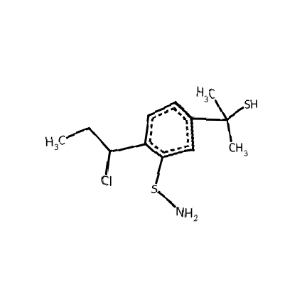 CCC(Cl)c1ccc(C(C)(C)S)cc1SN